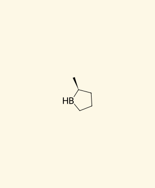 C[C@@H]1BCCC1